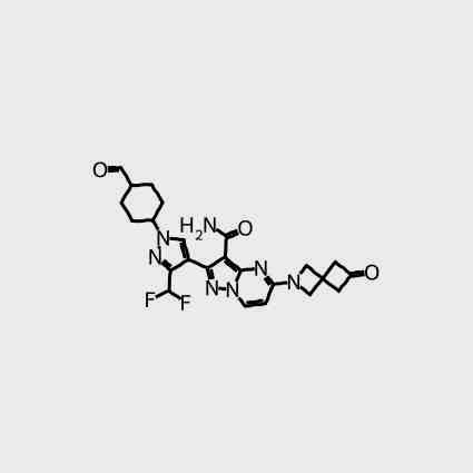 NC(=O)c1c(-c2cn(C3CCC(C=O)CC3)nc2C(F)F)nn2ccc(N3CC4(CC(=O)C4)C3)nc12